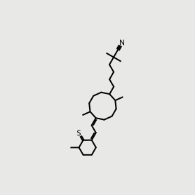 CC1CCC/C(=C/C=C2\CCCC(C)C(CCCCC(C)(C)C#N)CCCC2C)C1=S